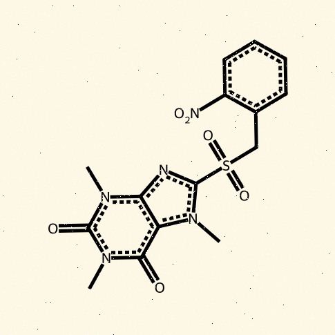 Cn1c(=O)c2c(nc(S(=O)(=O)Cc3ccccc3[N+](=O)[O-])n2C)n(C)c1=O